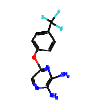 Nc1ncc(Oc2ccc(C(F)(F)F)cc2)nc1N